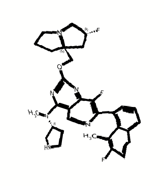 Cc1c(F)ccc2cccc(-c3ncc4c(N(C)[C@@H]5CCNC5)nc(OC[C@@]56CCCN5C[C@H](F)C6)nc4c3F)c12